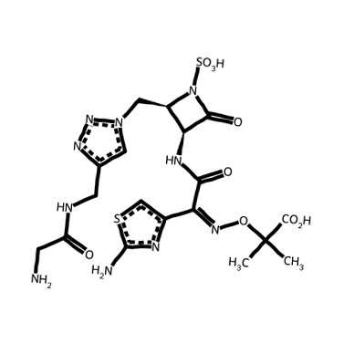 CC(C)(O/N=C(\C(=O)N[C@@H]1C(=O)N(S(=O)(=O)O)[C@@H]1Cn1cc(CNC(=O)CN)nn1)c1csc(N)n1)C(=O)O